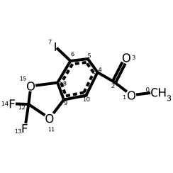 COC(=O)c1cc(I)c2c(c1)OC(F)(F)O2